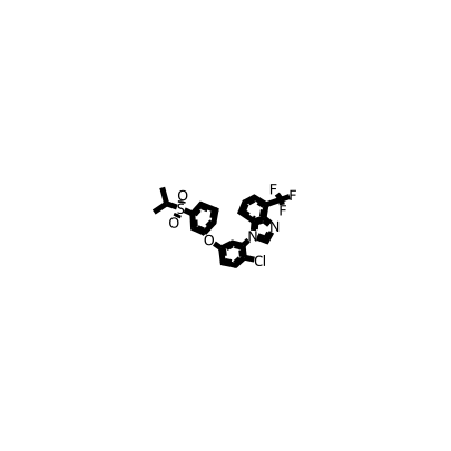 CC(C)S(=O)(=O)c1cccc(Oc2ccc(Cl)c(-n3cnc4c(C(F)(F)F)cccc43)c2)c1